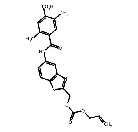 C=CCOC(=O)OCc1nc2cc(NC(=O)c3cc(C)c(C(=O)O)cc3C)ccc2s1